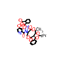 CC(C)C(=O)OC1[C@H](C)OC(=O)C(NC(=O)c2nccc(O)c2OC2OC(=O)c3ccccc32)COC(=O)[C@@H]1Cc1ccccc1